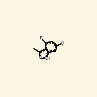 Fc1cc(Cl)cc2[nH]nc(I)c12